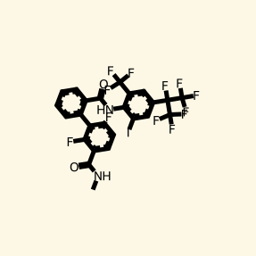 CNC(=O)c1ccc(F)c(-c2ccccc2C(=O)Nc2c(I)cc(C(F)(C(F)(F)F)C(F)(F)F)cc2C(F)(F)F)c1F